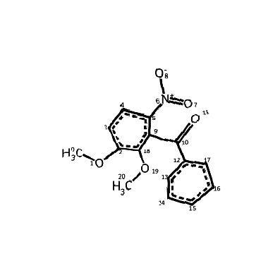 COc1ccc([N+](=O)[O-])c(C(=O)c2ccccc2)c1OC